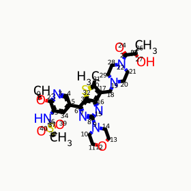 COc1ncc(-c2nc(N3CCOCC3)nc3c(CN4CCN(C(=O)[C@H](C)O)CC4)c(C)sc23)cc1NS(C)(=O)=O